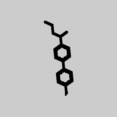 CCCC(C)c1ccc(-c2ccc(F)cc2)cc1